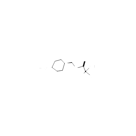 CC(C)(Cl)C(=O)OC[C@H]1CC[C@H](C)CC1